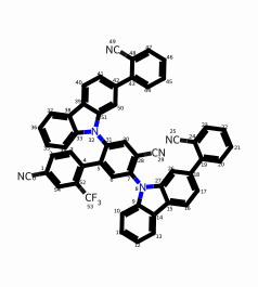 N#Cc1ccc(-c2cc(-n3c4ccccc4c4ccc(-c5ccccc5C#N)cc43)c(C#N)cc2-n2c3ccccc3c3ccc(-c4ccccc4C#N)cc32)c(C(F)(F)F)c1